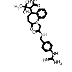 CC(C)(C)C(C(=O)O)C1CCC(=O)N(CC(=O)NCc2ccc(NC(=N)N)cc2)c2ccccc21